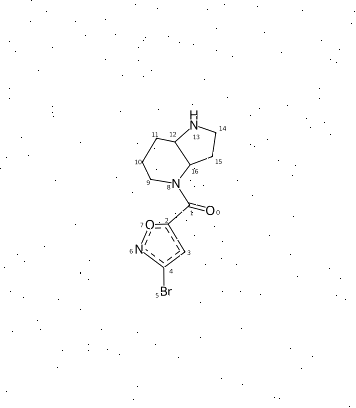 O=C(c1cc(Br)no1)N1CCCC2NCCC21